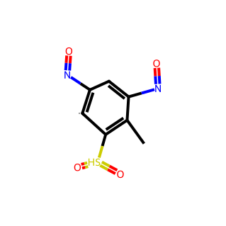 Cc1c([SH](=O)=O)[c]c(N=O)cc1N=O